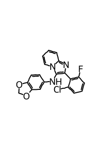 Fc1cccc(Cl)c1-c1nc2ccccn2c1Nc1ccc2c(c1)OCO2